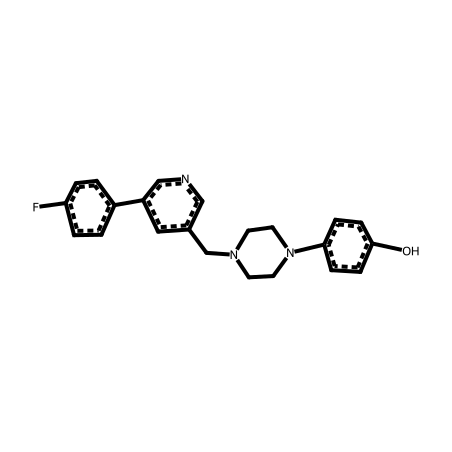 Oc1ccc(N2CCN(Cc3cncc(-c4ccc(F)cc4)c3)CC2)cc1